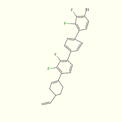 C=CC1CC=C(c2ccc(-c3ccc(-c4ccc(CC)c(F)c4F)cc3)c(F)c2F)CC1